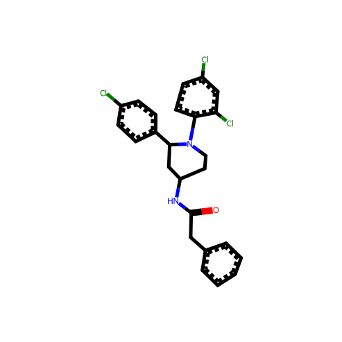 O=C(Cc1ccccc1)NC1CCN(c2ccc(Cl)cc2Cl)C(c2ccc(Cl)cc2)C1